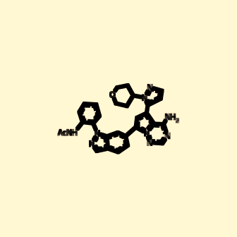 CC(=O)Nc1ccccc1-n1ncc2ccc(-c3cc(-c4ccnn4C4CCOCC4)c4c(N)ncnn34)cc21